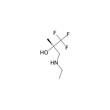 CCNC[C@](C)(O)C(F)(F)F